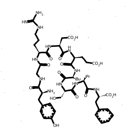 CC[C@H](C)[C@H](NC(=O)[C@H](CCC(=O)O)NC(=O)[C@H](CC(=O)O)NC(=O)[C@H](CCCNC(=N)N)NC(=O)CNC(=O)[C@@H](N)Cc1ccc(O)cc1)C(=O)N[C@@H](CO)C(=O)N[C@H](C(=O)N[C@@H](Cc1ccccc1)C(=O)O)C(C)C